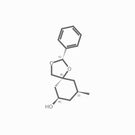 C[C@H]1C[C@@H](O)C[C@@]2(CO[C@H](c3ccccc3)O2)C1